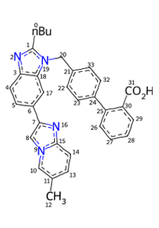 CCCCc1nc2ccc(-c3cn4cc(C)ccc4n3)cc2n1Cc1ccc(-c2ccccc2C(=O)O)cc1